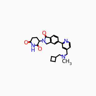 CN(Cc1ccnc(-c2ccc3c(c2)CN(C2CCC(=O)NC2=O)C3=O)c1)CC1CCC1